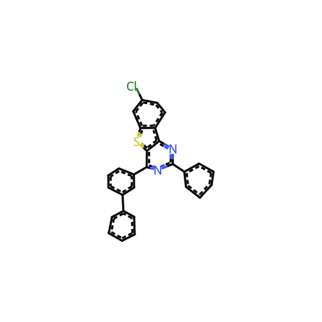 Clc1ccc2c(c1)sc1c(-c3cccc(-c4ccccc4)c3)nc(-c3ccccc3)nc12